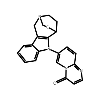 O=c1ccnc2ccc(-n3c4c(c5ccccc53)CN3CCC4CC3)cn12